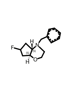 FC1C[C@@H]2OCCN(Cc3ccccc3)[C@H]2C1